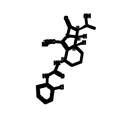 CC(O)[C@H]1C(=O)N2C(C(=O)[O-])=C3[C@@H](NC(=O)Nc4ccccc4Cl)CCC[C@@H]3[C@H]12.[Na+]